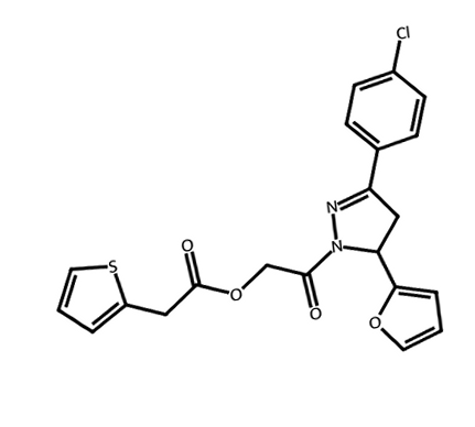 O=C(Cc1cccs1)OCC(=O)N1N=C(c2ccc(Cl)cc2)CC1c1ccco1